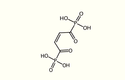 O=C(/C=C\C(=O)P(=O)(O)O)P(=O)(O)O